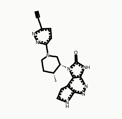 C#Cc1ccc(N2CC[C@@H](C)[C@@H](n3c(=O)[nH]c4nnc5[nH]ccc5c43)C2)nn1